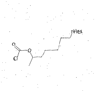 CCCCCCCCCCCC(C)OC(=O)Cl